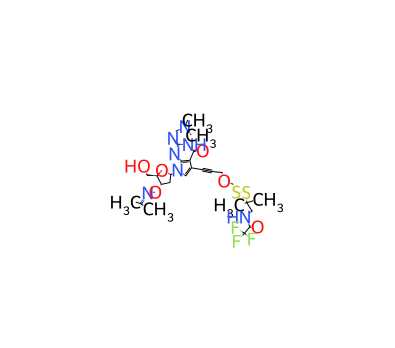 CC(C)=NOC1C[C@H](n2cc(C#CCOCSSC(C)(C)CNC(=O)C(F)(F)F)c3c(=O)[nH]c(/N=C\N(C)C)nc32)O[C@@H]1CO